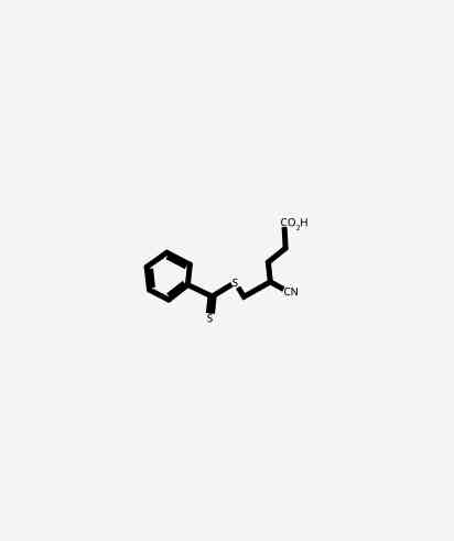 N#CC(CCC(=O)O)CSC(=S)c1ccccc1